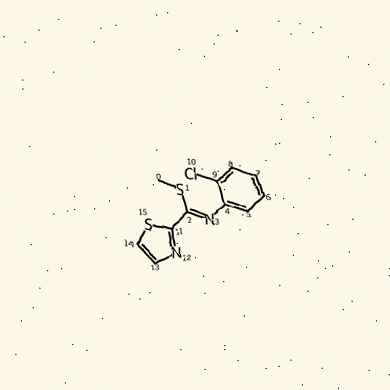 CSC(=Nc1ccccc1Cl)c1nccs1